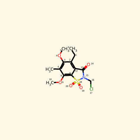 CCc1c(OC)c(C)c(OC)c2c1C(=O)N(CCl)S2(=O)=O